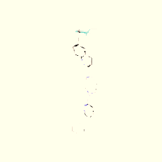 C[C@H]1CC[C@H](Oc2ccc(N3CCN(c4ccc5cc(C(F)(F)F)ccc5n4)CC3)nc2)CC1